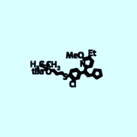 CCc1ccc(/C(=C\C2CCCC2)c2ccc(SCCCO[Si](C)(C)C(C)(C)C)c(Cl)c2)nc1OC